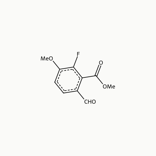 COC(=O)c1c(C=O)ccc(OC)c1F